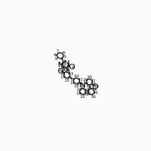 O=c1nc(-c2ccccc2)nc2oc3ccc(-c4ccc(N(c5ccccc5)c5cccc6oc7ccccc7c56)cc4)cc3n12